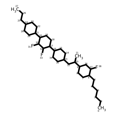 CCCCCCC1CCC(C(C)CC2CCC(C3CCC(C4CCC(CCC)CC4)C(F)C3F)CC2)CC1F